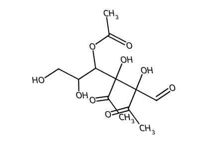 CC(=O)OC(C(O)CO)C(O)(C(C)=O)C(O)(C=O)C(C)=O